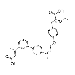 CCO[C@@H](Cc1ccc(OCC=C(C)c2ccc(-c3cccc(C(C)=CC(=O)O)c3)cc2)cc1)C(=O)O